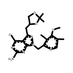 COc1c(C)cnc(Cn2nc(CC3COC(C)(C)O3)c3c(Cl)nc(N)nc32)c1C